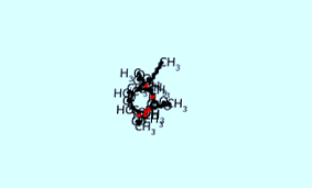 CCC/C=C/C=C/C(=O)O[C@H]1/C(=C/C(=O)OC)CC2C[C@H]([C@@H](C)O)OC(=O)C[C@H](O)C[C@@H]3C[C@H](OC(C)=O)C(C)(C)[C@](O)(C[C@@H]4C/C(=C/C(=O)OC)C[C@H](/C=C/C(C)(C)[C@]1(O)O2)O4)O3